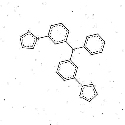 c1ccc(N(c2cccc(-n3cccn3)c2)c2cccc(-n3cccn3)c2)cc1